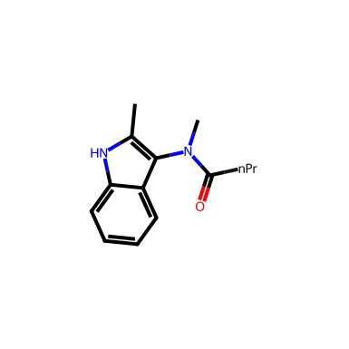 CCCC(=O)N(C)c1c(C)[nH]c2ccccc12